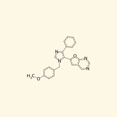 COc1ccc(Cn2cnc(-c3ccccc3)c2-c2cc3cncnc3o2)cc1